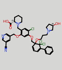 N#Cc1cncc(COc2cc(OCC3(OCCCN4CC[C@@H](O)C4)C=CC=C(c4ccccc4)C3(Cl)Cl)c(Cl)cc2CN2CCCC[C@H]2C(=O)O)c1